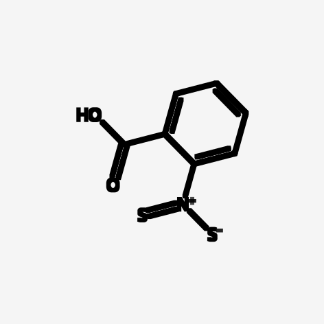 O=C(O)c1ccccc1[N+](=S)[S-]